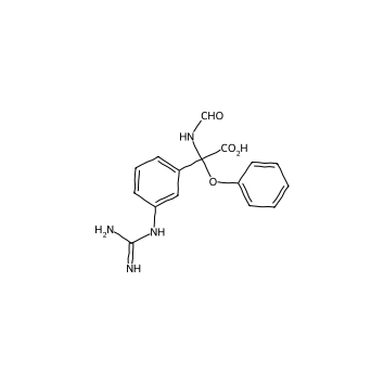 N=C(N)Nc1cccc(C(NC=O)(Oc2ccccc2)C(=O)O)c1